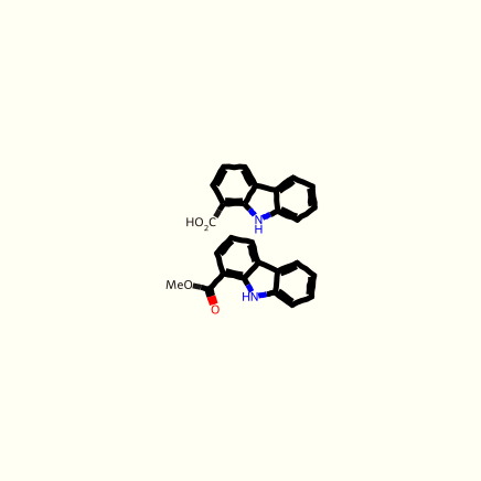 COC(=O)c1cccc2c1[nH]c1ccccc12.O=C(O)c1cccc2c1[nH]c1ccccc12